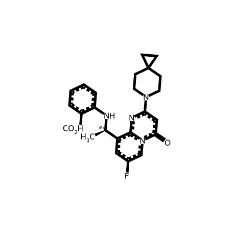 C[C@@H](Nc1ccccc1C(=O)O)c1cc(F)cn2c(=O)cc(N3CCC4(CC3)CC4)nc12